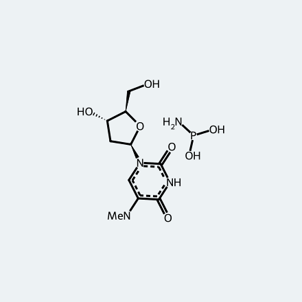 CNc1cn([C@H]2C[C@H](O)[C@@H](CO)O2)c(=O)[nH]c1=O.NP(O)O